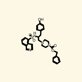 O=C(OCc1ccccc1)N1CCN(CC(Cc2ccc(O)cc2)NS(=O)(=O)c2cccc3cnccc23)CC1